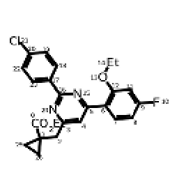 CCOC(=O)C1(Cc2cc(-c3ccc(F)cc3OCC)nc(-c3ccc(Cl)cc3)n2)CC1